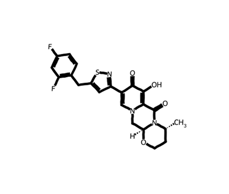 C[C@@H]1CCO[C@H]2Cn3cc(-c4cc(Cc5ccc(F)cc5F)sn4)c(=O)c(O)c3C(=O)N12